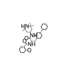 COc1ccccc1C(=O)NC(Cc1ccc(-c2ccccc2)cc1)C(=O)NC1CC(C)(C)NC(C)(C)C1